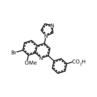 COc1c(Br)ccc2c(-n3ccnc3)cc(-c3cccc(C(=O)O)c3)nc12